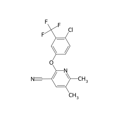 Cc1cc(C#N)c(Oc2ccc(Cl)c(C(F)(F)F)c2)nc1C